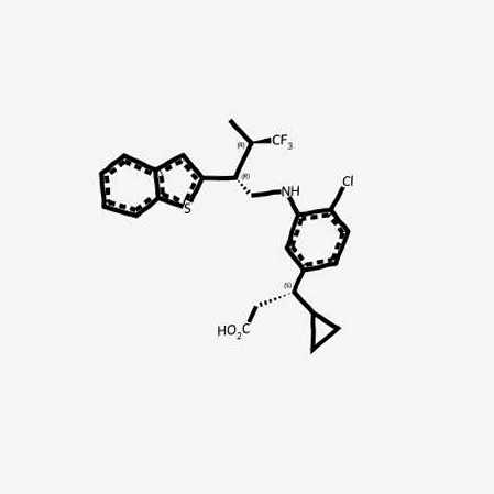 C[C@H]([C@H](CNc1cc([C@@H](CC(=O)O)C2CC2)ccc1Cl)c1cc2ccccc2s1)C(F)(F)F